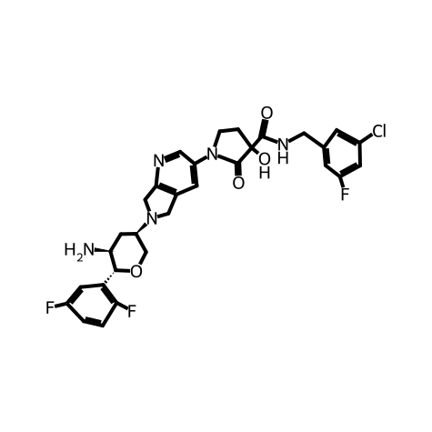 N[C@H]1C[C@@H](N2Cc3cc(N4CCC(O)(C(=O)NCc5cc(F)cc(Cl)c5)C4=O)cnc3C2)CO[C@@H]1c1cc(F)ccc1F